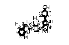 C[C@H](NC(=O)N1CCN(c2ncnc3[nH]c(-c4ccc(C#N)cc4)cc23)CC1(C)C)c1cccc(Cl)c1